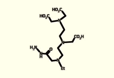 CCN(CCN(CCN(CC(=O)O)CC(=O)O)CC(=O)O)CC(=O)NN